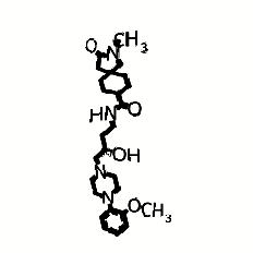 COc1ccccc1N1CCN(C[C@H](O)CCNC(=O)C2CCC3(CC2)CC(=O)N(C)C3)CC1